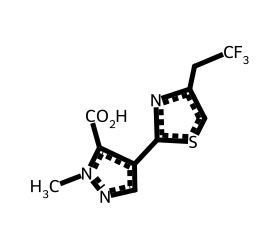 Cn1ncc(-c2nc(CC(F)(F)F)cs2)c1C(=O)O